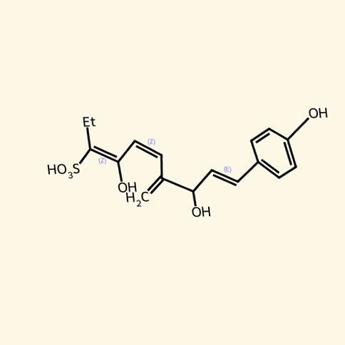 C=C(/C=C\C(O)=C(/CC)S(=O)(=O)O)C(O)/C=C/c1ccc(O)cc1